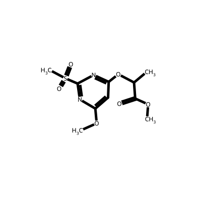 COC(=O)C(C)Oc1cc(OC)nc(S(C)(=O)=O)n1